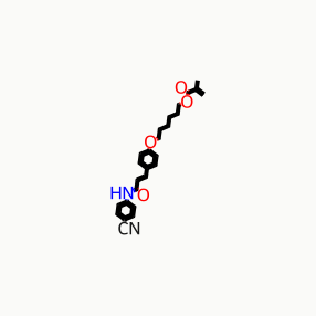 C=C(C)C(=O)OCCCCCCOc1ccc(/C=C/C(=O)Nc2ccc(C#N)cc2)cc1